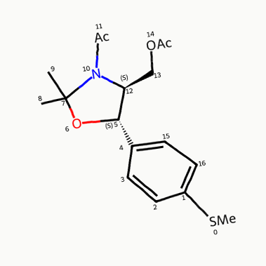 CSc1ccc([C@@H]2OC(C)(C)N(C(C)=O)[C@H]2COC(C)=O)cc1